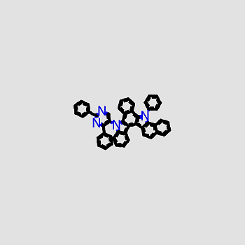 c1ccc(-c2ncc(-n3c4ccccc4c4c5c6ccc7ccccc7c6n(-c6ccccc6)c5c5ccccc5c43)c(-c3ccccc3)n2)cc1